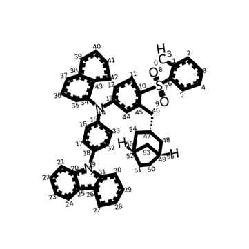 Cc1ccccc1S(=O)(=O)c1ccc(N(c2ccc(-n3c4ccccc4c4ccccc43)cc2)c2cccc3ccccc23)cc1C[C@@H]1C[C@@H]2CC[C@@H](C2)C1